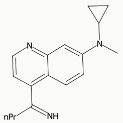 CCCC(=N)c1ccnc2cc(N(C)C3CC3)ccc12